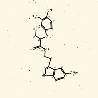 COc1ccc2[nH]cc(CCNC(=O)C(CC(C)C)Oc3ccc(C#N)c(C(F)(F)F)c3)c2c1